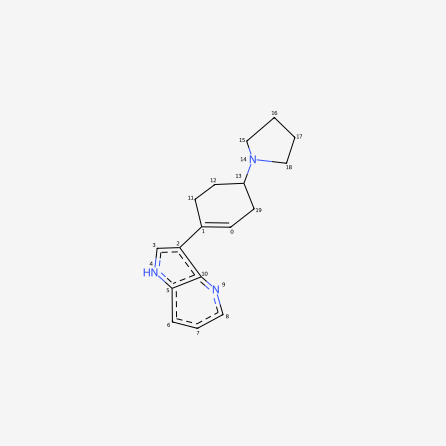 C1=C(c2c[nH]c3cccnc23)CCC(N2CCCC2)C1